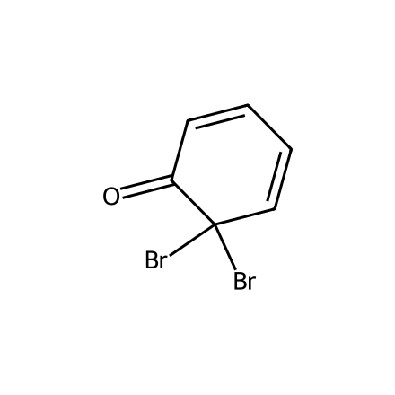 O=C1C=CC=CC1(Br)Br